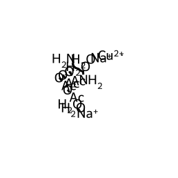 CC(=O)[O-].CC(=O)[O-].CC(=O)[O-].CC(=O)[O-].NCCN.O.O.O.O.[Cu+2].[Na+].[Na+]